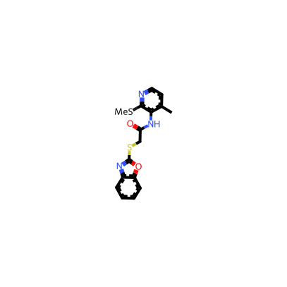 CSc1nccc(C)c1NC(=O)CSc1nc2ccccc2o1